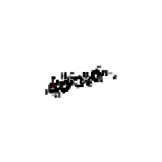 CC1CN(S(=O)(=O)c2cnc(N)c(F)c2)CCN1c1ccc(C(O)(C(F)(F)F)C(F)(F)F)cc1